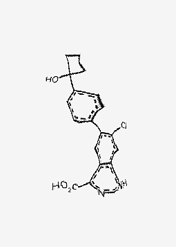 O=C(O)c1n[nH]c2cc(Cl)c(-c3ccc(C4(O)CCC4)cc3)cc12